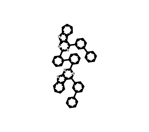 c1ccc(-c2cccc(-c3nc(-c4ccccc4-c4ccccc4-c4nc(-c5cccc(-c6ccccc6)c5)c5c(n4)sc4ccccc45)nc4sc5ccccc5c34)c2)cc1